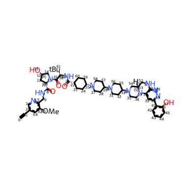 C#Cc1cnc(CNC(=O)[C@@H]2C[C@@H](O)CN2C(=O)[C@@H](NC(=O)[C@H]2CC[C@@H](N3CCC(N4CCC(N5CCN6c7cc(-c8ccccc8O)nnc7NC[C@H]6C5)CC4)CC3)CC2)C(C)(C)C)c(OC)c1